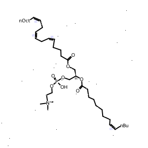 CCCC/C=C\CCCCCCCC(=O)O[C@H](COC(=O)CCC/C=C\C/C=C\C/C=C\CCCCCCCC)COP(=O)(O)OCC[N+](C)(C)C